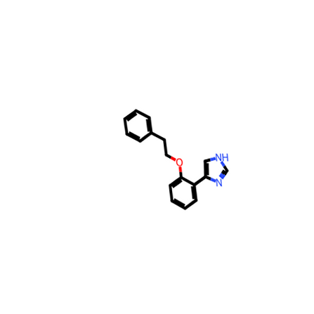 c1ccc(CCOc2ccccc2-c2c[nH]cn2)cc1